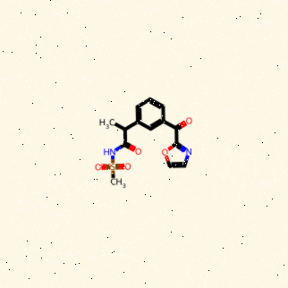 CC(C(=O)NS(C)(=O)=O)c1cccc(C(=O)c2ncco2)c1